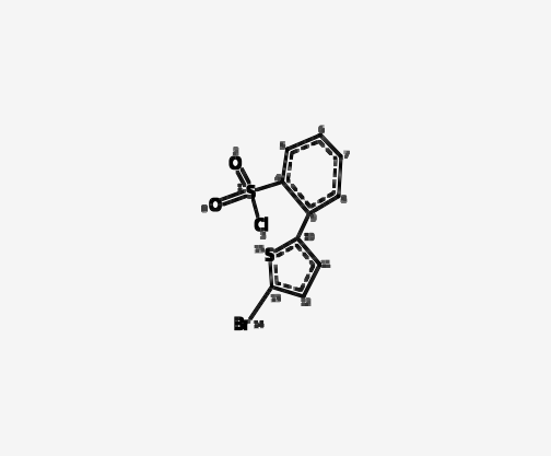 O=S(=O)(Cl)c1ccccc1-c1ccc(Br)s1